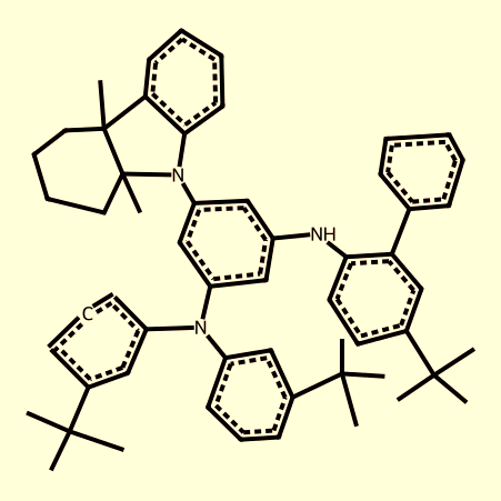 CC(C)(C)c1cccc(N(c2cc(Nc3ccc(C(C)(C)C)cc3-c3ccccc3)cc(N3c4ccccc4C4(C)CCCCC34C)c2)c2cccc(C(C)(C)C)c2)c1